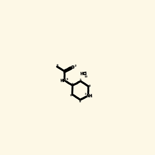 CC(=O)NC1CCNCC1.Cl